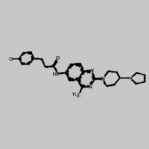 Cc1nc(N2CCC(N3CCCC3)CC2)nc2ccc(NC(=O)CCc3ccc(Cl)cc3)cc12